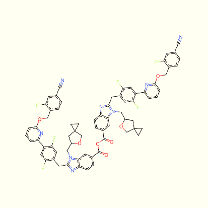 N#Cc1ccc(COc2cccc(-c3cc(F)c(Cc4nc5ccc(C(=O)OC(=O)c6ccc7nc(Cc8cc(F)c(-c9cccc(OCc%10ccc(C#N)cc%10F)n9)cc8F)n(CC8CC9(CC9)CO8)c7c6)cc5n4CC4CC5(CC5)CO4)cc3F)n2)c(F)c1